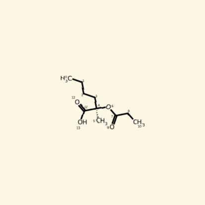 CCCC[C@@](C)(OC(=O)CC)C(=O)O